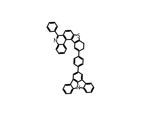 C1=C(c2ccc(-c3cc4c5ccccc5n5c6ccccc6c(c3)c45)cc2)CCc2sc3ccc4c(-c5ccccc5)nc5ccccc5c4c3c21